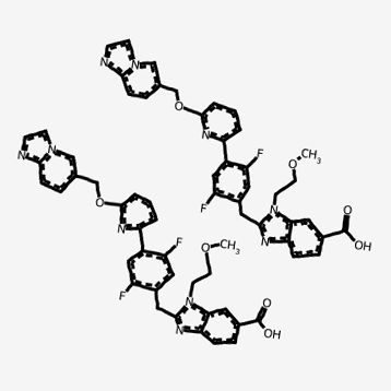 COCCn1c(Cc2cc(F)c(-c3cccc(OCc4ccc5nccn5c4)n3)cc2F)nc2ccc(C(=O)O)cc21.COCCn1c(Cc2cc(F)c(-c3cccc(OCc4ccc5nccn5c4)n3)cc2F)nc2ccc(C(=O)O)cc21